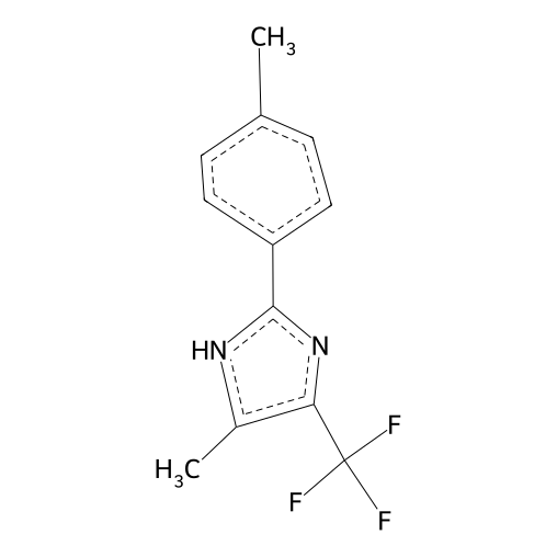 Cc1ccc(-c2nc(C(F)(F)F)c(C)[nH]2)cc1